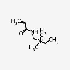 C=CC(=O)NC[N+](C)(C)CC